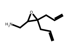 C=CCC1(CC=C)OC1CN